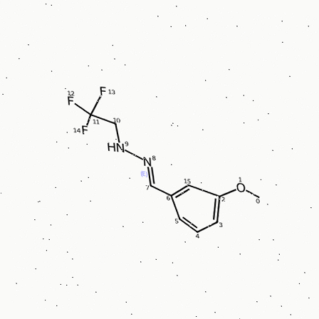 COc1cccc(/C=N/NCC(F)(F)F)c1